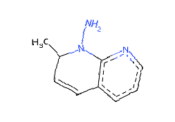 CC1C=Cc2cccnc2N1N